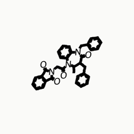 CC1C(Cc2ccccc2)C(=O)N(Cc2ccccc2)c2ccccc2N1C(=O)CN1C(=O)c2ccccc2C1=O